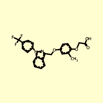 Cc1cc(OCc2nn(-c3ccc(C(F)(F)F)cc3)c3ccccc23)ccc1OCC(=O)O